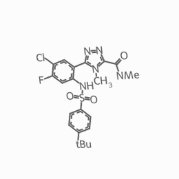 CNC(=O)c1nnc(-c2cc(Cl)c(F)cc2NS(=O)(=O)c2ccc(C(C)(C)C)cc2)n1C